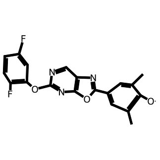 Cc1cc(-c2nc3cnc(Oc4cc(F)ccc4F)nc3o2)cc(C)c1[O]